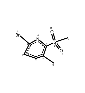 Cc1ccc(Br)nc1S(C)(=O)=O